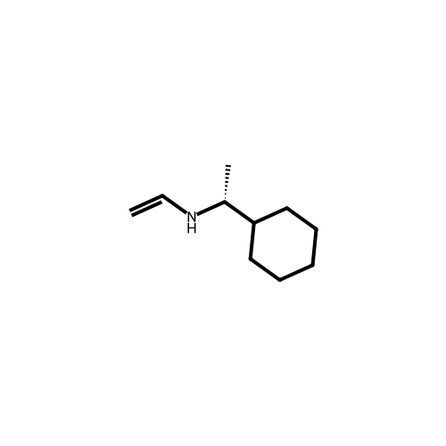 C=CN[C@H](C)C1CCCCC1